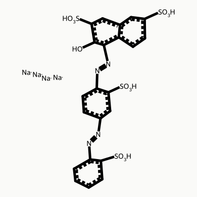 O=S(=O)(O)c1ccc2c(N=Nc3ccc(N=Nc4ccccc4S(=O)(=O)O)cc3S(=O)(=O)O)c(O)c(S(=O)(=O)O)cc2c1.[Na].[Na].[Na].[Na]